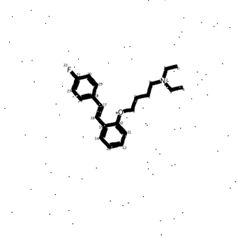 CCN(CC)CCCCOc1ccccc1/C=C/c1ccc(F)cc1